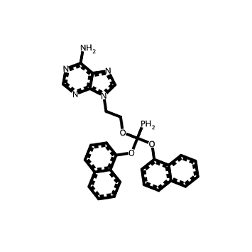 Nc1ncnc2c1ncn2CCOC(P)(Oc1cccc2ccccc12)Oc1cccc2ccccc12